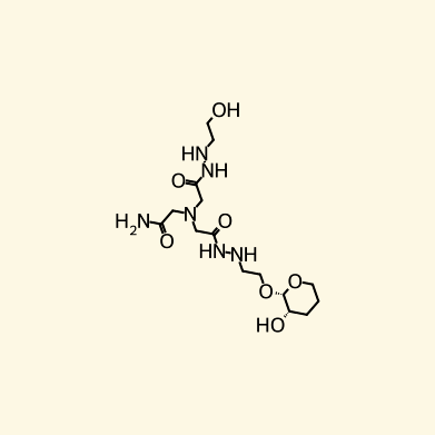 NC(=O)CN(CC(=O)NNCCO)CC(=O)NNCCO[C@@H]1OCCC[C@@H]1O